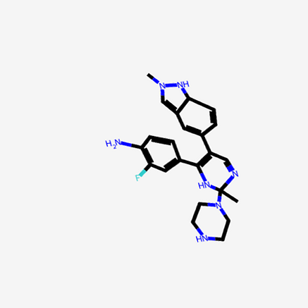 CN1C=C2C=C(C3=C(c4ccc(N)c(F)c4)NC(C)(N4CCNCC4)N=C3)C=CC2N1